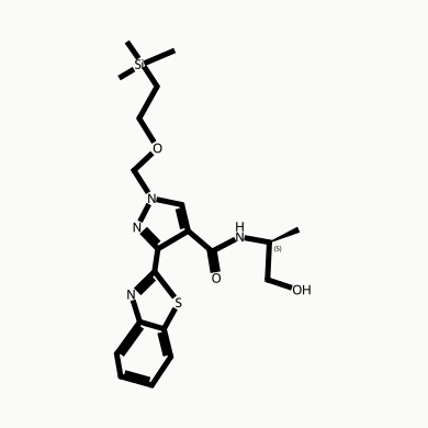 C[C@@H](CO)NC(=O)c1cn(COCC[Si](C)(C)C)nc1-c1nc2ccccc2s1